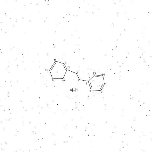 [H+].c1ccc(CCc2ccccc2)cc1